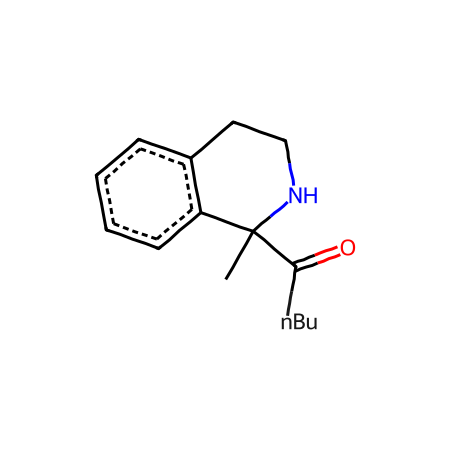 CCCCC(=O)C1(C)NCCc2ccccc21